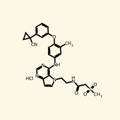 Cc1cc(Nc2ncnc3ccn(CCNC(=O)CS(C)(=O)=O)c23)ccc1Oc1cccc(C2(C#N)CC2)c1.Cl